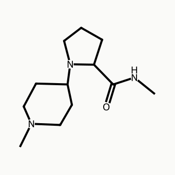 CNC(=O)C1CCCN1C1CCN(C)CC1